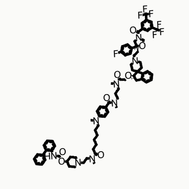 CN(CCN1CCC(OC(=O)Nc2ccccc2-c2ccccc2)CC1)C(=O)CCCCCCN(C)c1ccc(C(=O)N(C)CCCN(C)C(=O)CO[C@H]2Cc3ccccc3C23CCN(CC[C@@]2(c4ccc(F)cc4)CN(C(=O)c4cc(C(F)(F)F)cc(C(F)(F)F)c4)CO2)CC3)cc1